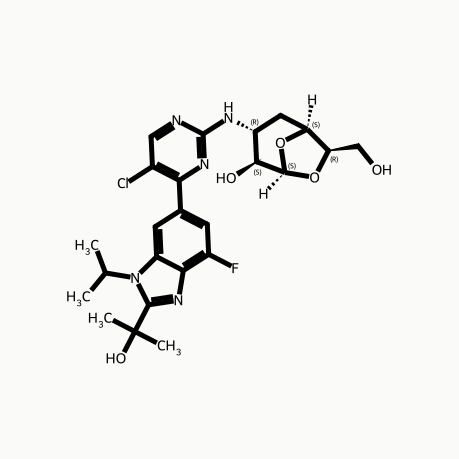 CC(C)n1c(C(C)(C)O)nc2c(F)cc(-c3nc(N[C@@H]4C[C@@H]5O[C@@H](O[C@@H]5CO)[C@H]4O)ncc3Cl)cc21